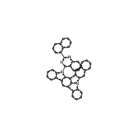 c1ccc2cc3c(cc2c1)c1c2c(cc4c5ccccc5n3c41)c1ccccc1n2-c1nc(-c2cccc3ccccc23)nc2ccccc12